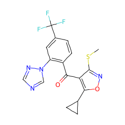 CSc1noc(C2CC2)c1C(=O)c1ccc(C(F)(F)F)cc1-n1cncn1